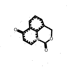 O=C1OCc2cccc3c(=O)ccn1c23